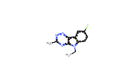 CCn1c2ccc(F)cc2c2nnc(C)nc21